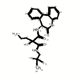 CCCC(O)(C(=O)NCC(C)(F)F)C(=O)N[C@@H]1C(=O)Nc2ccccc2-c2ccccc21